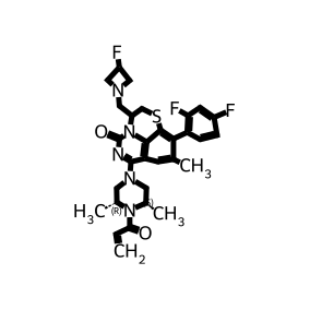 C=CC(=O)N1[C@H](C)CN(c2nc(=O)n3c4c(c(-c5ccc(F)cc5F)c(C)cc24)SCC3CN2CC(F)C2)C[C@@H]1C